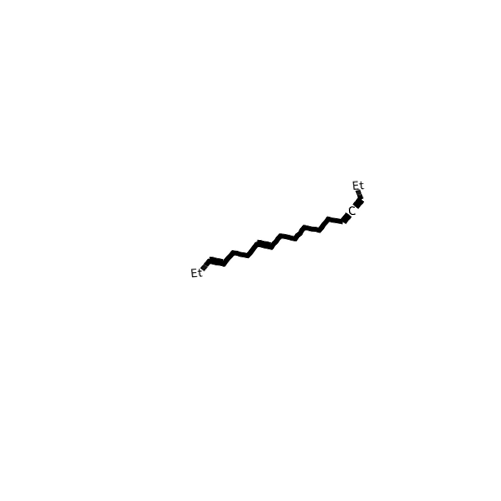 CCC=C=CCCCCCC=CCCC=CCC